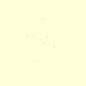 COCCOCC(N)c1cc(-c2ccc(S(C)(=O)=O)cc2)n(-c2ccc(F)cc2)c1C